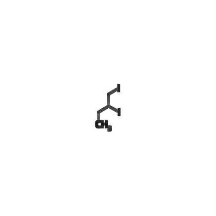 CCC(I)CI